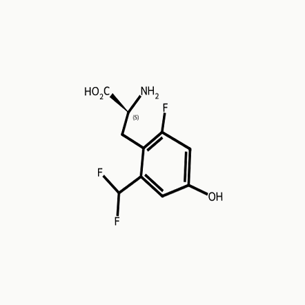 N[C@@H](Cc1c(F)cc(O)cc1C(F)F)C(=O)O